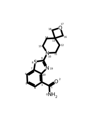 NC(=O)c1[c]ccc2sc(N3CCC4(CC3)COC4)nc12